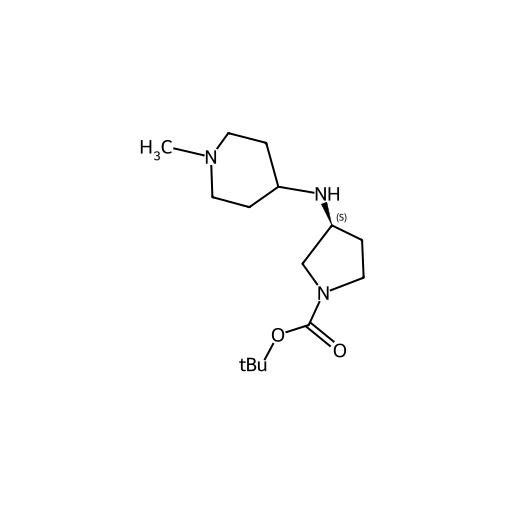 CN1CCC(N[C@H]2CCN(C(=O)OC(C)(C)C)C2)CC1